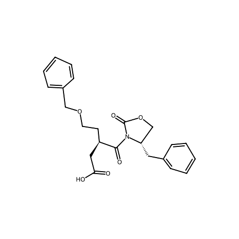 O=C(O)C[C@@H](CCOCc1ccccc1)C(=O)N1C(=O)OC[C@@H]1Cc1ccccc1